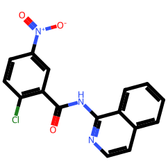 O=C(Nc1nccc2ccccc12)c1cc([N+](=O)[O-])ccc1Cl